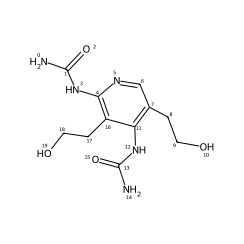 NC(=O)Nc1ncc(CCO)c(NC(N)=O)c1CCO